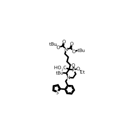 CCOP1(=O)CCN(Cc2ccccc2-c2cccs2)C(C(C)(C)C)C1(CCCCN(C(=O)OC(C)(C)C)C(=O)OC(C)(C)C)C(=O)O